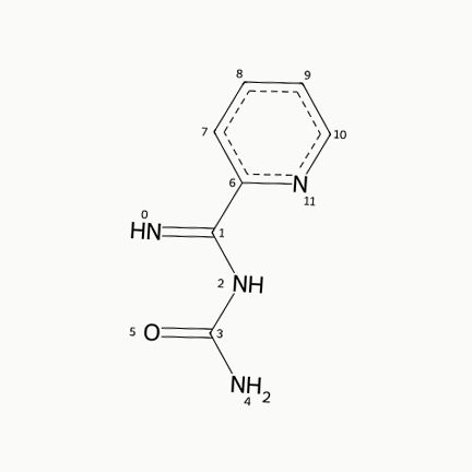 N=C(NC(N)=O)c1ccccn1